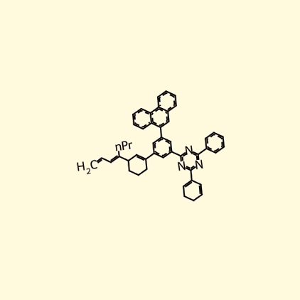 C=C/C=C(\CCC)C1C=C(c2cc(-c3nc(C4=CCCC=C4)nc(-c4ccccc4)n3)cc(-c3cc4ccccc4c4ccccc34)c2)CCC1